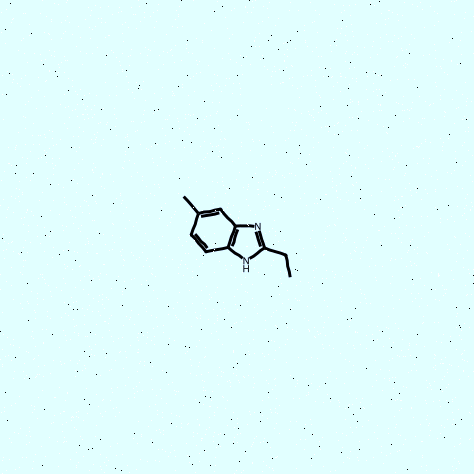 CCc1nc2cc(C)ccc2[nH]1